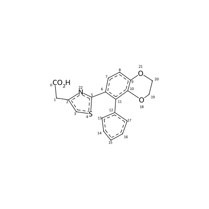 O=C(O)Cc1csc(-c2ccc3c(c2-c2ccccc2)OCCO3)n1